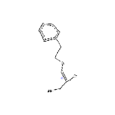 CC/C(=C\OCCc1ccccc1)CC(C)CC